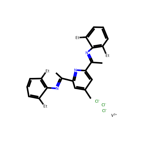 CCc1cccc(CC)c1N=C(C)c1cc(C)cc(C(C)=Nc2c(CC)cccc2CC)n1.[Cl-].[Cl-].[Cl-].[V+3]